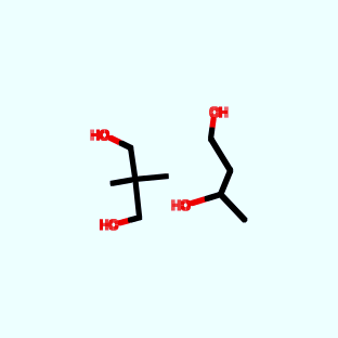 CC(C)(CO)CO.CC(O)CCO